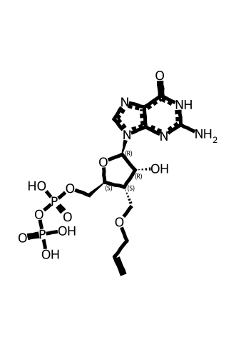 C=CCOC[C@H]1[C@@H](O)[C@H](n2cnc3c(=O)[nH]c(N)nc32)O[C@@H]1COP(=O)(O)OP(=O)(O)O